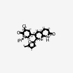 Cc1ccc(-c2nc3[nH]c(=O)ccc3cc2-c2cc(Cl)c(=O)n(C(C)C)c2)o1